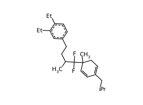 CCc1ccc(CCC(C)C(F)(F)C2(C)C=CC(CC(C)C)=CC2)cc1CC